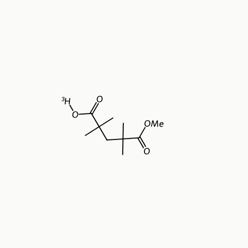 [3H]OC(=O)C(C)(C)CC(C)(C)C(=O)OC